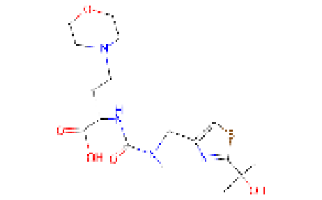 CN(Cc1csc(C(C)(C)O)n1)C(=O)N[C@@H](CCN1CCOCC1)C(=O)O